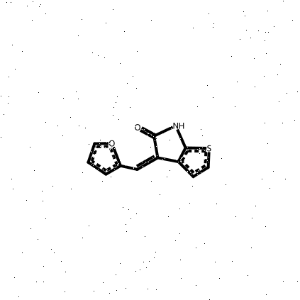 O=C1Nc2sccc2C1=Cc1ccco1